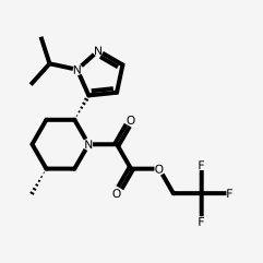 CC(C)n1nccc1[C@H]1CC[C@@H](C)CN1C(=O)C(=O)OCC(F)(F)F